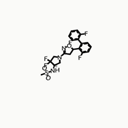 CS(=O)(=O)N[C@@H]1CN(C2=NOC(c3c(F)cccc3-c3c(F)cccc3F)C2)CC1(F)F